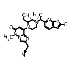 CCC1CN(C(C)c2ccc3cc(F)sc3n2)CCN1c1cc(=O)n(C)n2cc(CC#N)nc12